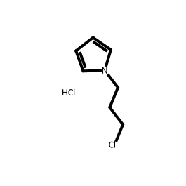 Cl.ClCCCn1cccc1